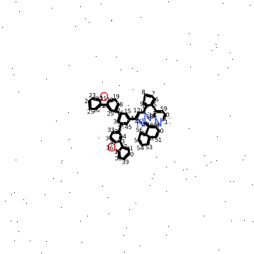 c1cncc(-c2ccccc2-c2cc(-c3cc(-c4ccc5oc6ccccc6c5c4)cc(-c4ccc5oc6ccccc6c5c4)c3)nc(-c3cccc4ccccc34)n2)c1